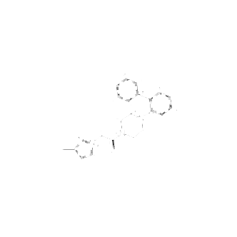 Cc1ccn(CC(=O)N2CCN(c3ccccc3-c3ccccc3)CC2)n1